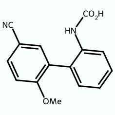 COc1ccc(C#N)cc1-c1ccccc1NC(=O)O